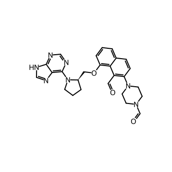 O=Cc1c(N2CCN(C=O)CC2)ccc2cccc(OC[C@H]3CCCN3c3ncnc4[nH]cnc34)c12